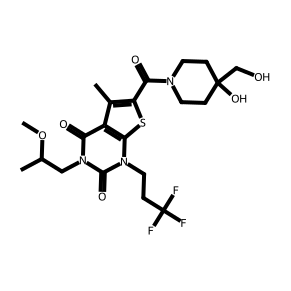 COC(C)Cn1c(=O)c2c(C)c(C(=O)N3CCC(O)(CO)CC3)sc2n(CCC(F)(F)F)c1=O